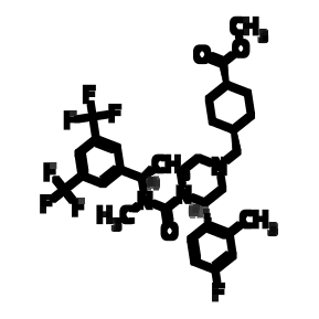 COC(=O)[C@H]1CC[C@@H](CN2CCN(C(=O)N(C)[C@H](C)c3cc(C(F)(F)F)cc(C(F)(F)F)c3)[C@@H](c3ccc(F)cc3C)C2)CC1